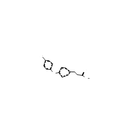 COC(=O)CCc1ccc(Sc2ccc(Cl)cc2)cc1